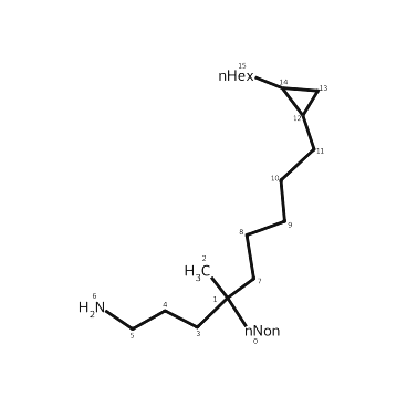 CCCCCCCCCC(C)(CCCN)CCCCCC1CC1CCCCCC